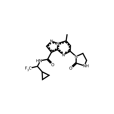 Cc1cc(N2CCNC2=O)nc2c(C(=O)NC(C3CC3)C(F)(F)F)cnn12